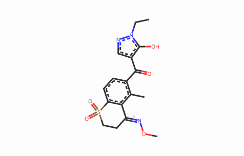 CCn1ncc(C(=O)c2ccc3c(c2C)/C(=N/OC)CCS3(=O)=O)c1O